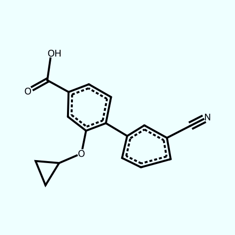 N#Cc1cccc(-c2ccc(C(=O)O)cc2OC2CC2)c1